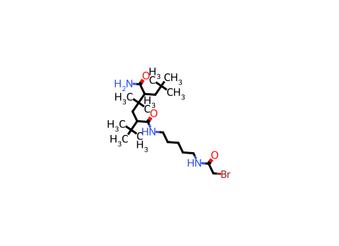 CC(C)(C)CC(C(N)=O)C(C)(C)CC(C(=O)NCCCCCNC(=O)CBr)C(C)(C)C